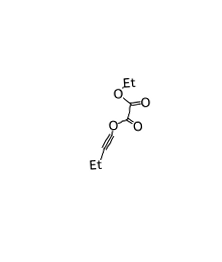 CCC#COC(=O)C(=O)OCC